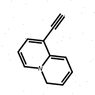 [C]#CC1=[C]C=CN2CC=CC=C12